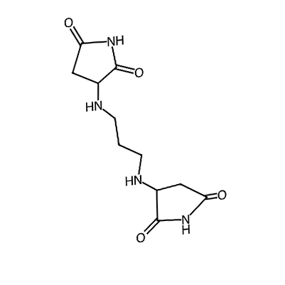 O=C1CC(NCCCNC2CC(=O)NC2=O)C(=O)N1